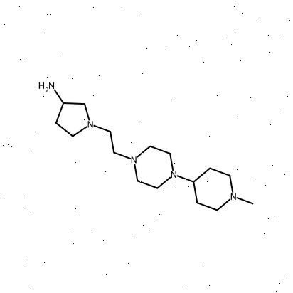 CN1CCC(N2CCN(CCN3CCC(N)C3)CC2)CC1